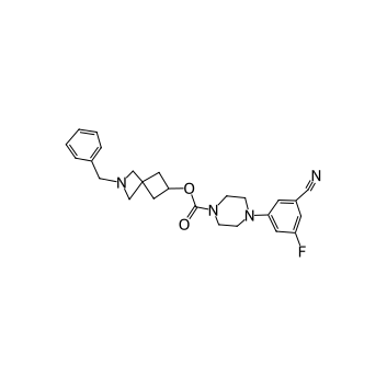 N#Cc1cc(F)cc(N2CCN(C(=O)OC3CC4(C3)CN(Cc3ccccc3)C4)CC2)c1